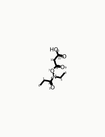 CCC(=O)N(CC)OC(=O)CC(=O)O